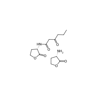 CCCC(=O)CC(=O)N[C@H]1CCOC1=O.N[C@H]1CCOC1=O